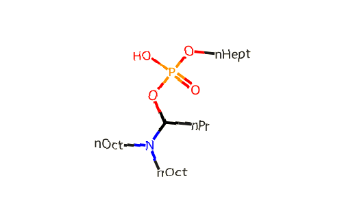 CCCCCCCCN(CCCCCCCC)C(CCC)OP(=O)(O)OCCCCCCC